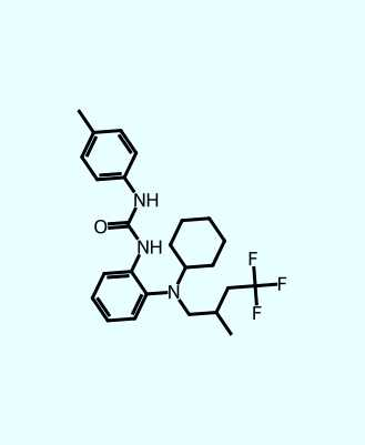 Cc1ccc(NC(=O)Nc2ccccc2N(CC(C)CC(F)(F)F)C2CCCCC2)cc1